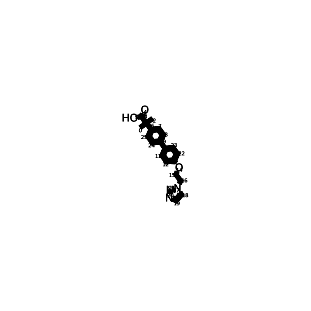 CC(C)(C(=O)O)c1ccc(-c2ccc(OCCn3ccnn3)cc2)cc1